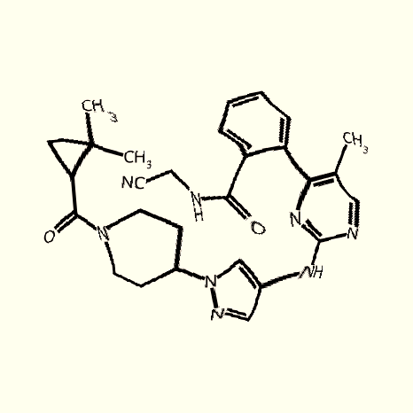 Cc1cnc(Nc2cnn(C3CCN(C(=O)C4CC4(C)C)CC3)c2)nc1-c1ccccc1C(=O)NCC#N